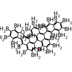 Bc1c(B)c(B)c2c(oc3c(B)c4c(-c5c6c(B)c(B)c(B)c(B)c6c(-c6c(B)c(B)c7c(B)c(B)c(B)c(B)c7c6B)c6c(B)c(B)c(B)c(B)c56)c(B)c(B)c(B)c4c(B)c32)c1B